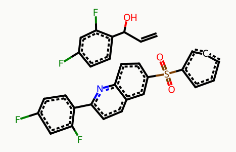 C=CC(O)c1ccc(F)cc1F.O=S(=O)(c1ccccc1)c1ccc2nc(-c3ccc(F)cc3F)ccc2c1